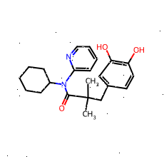 CC(C)(Cc1ccc(O)c(O)c1)C(=O)N(c1ccccn1)C1CCCCC1